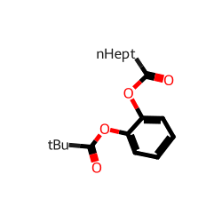 CCCCCCCC(=O)Oc1ccccc1OC(=O)C(C)(C)C